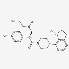 CC(C)N(CCO)C[C@@H](C(=O)N1CCN(c2ncnc3c2[C@H](C)CC3)CC1)c1ccc(Cl)cc1